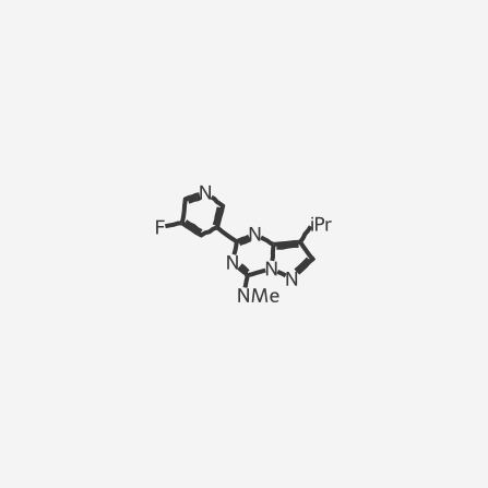 CNc1nc(-c2cncc(F)c2)nc2c(C(C)C)cnn12